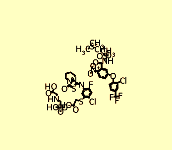 CS(=O)(=O)NC(=O)c1cc(Oc2ccc(C(F)(F)F)cc2Cl)ccc1[N+](=O)[O-].C[S+](C)C.O=C(O)CNCP(=O)([O-])O.O=C(O)CSc1cc(N=c2sc(=O)n3n2CCCC3)c(F)cc1Cl